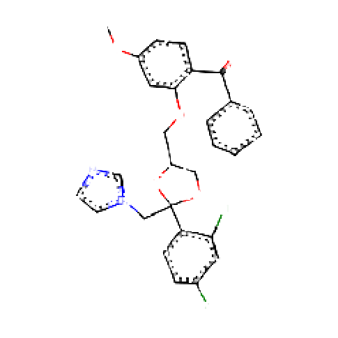 COc1ccc(C(=O)c2ccccc2)c(OCC2COC(Cn3ccnc3)(c3ccc(Cl)cc3Cl)O2)c1